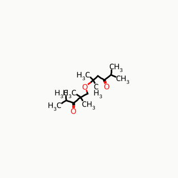 CC(C)C(=O)CC(C)(C)OCC(C)(C)C(=O)C(C)C